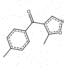 Cc1ccc(C(=O)c2cnoc2C)cc1